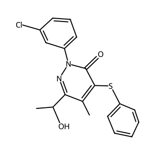 Cc1c(C(C)O)nn(-c2cccc(Cl)c2)c(=O)c1Sc1ccccc1